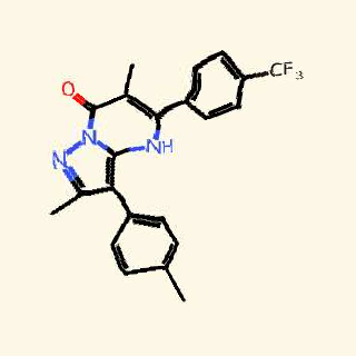 Cc1ccc(-c2c(C)nn3c(=O)c(C)c(-c4ccc(C(F)(F)F)cc4)[nH]c23)cc1